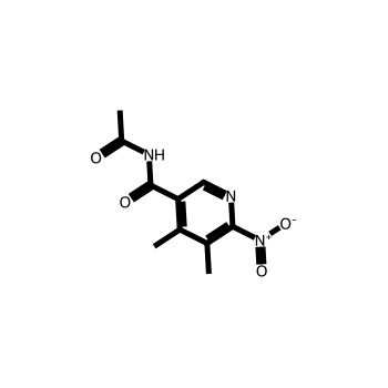 CC(=O)NC(=O)c1cnc([N+](=O)[O-])c(C)c1C